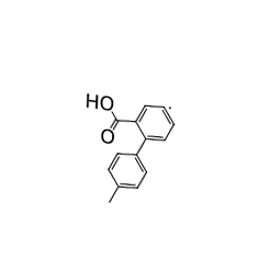 Cc1ccc(-c2cc[c]cc2C(=O)O)cc1